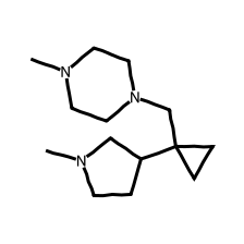 CN1CCN(CC2(C3CCN(C)C3)CC2)CC1